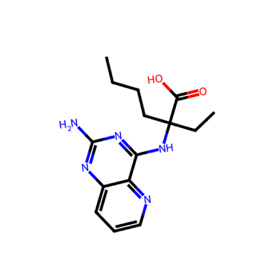 CCCCC(CC)(Nc1nc(N)nc2cccnc12)C(=O)O